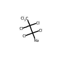 [Na][C](Cl)(Cl)C(Cl)(Cl)C(Cl)(Cl)Cl